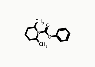 CC1CCCC(C)N1C(=O)Oc1ccccc1